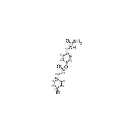 NC(=O)NCc1ccc(OC(=O)/C=C/c2ccc(Br)cc2)cc1